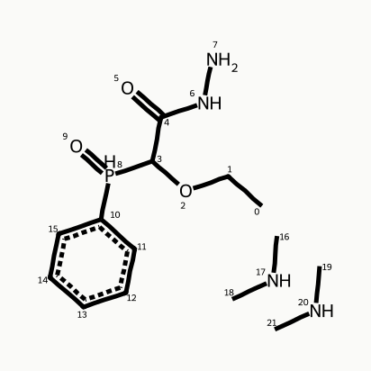 CCOC(C(=O)NN)[PH](=O)c1ccccc1.CNC.CNC